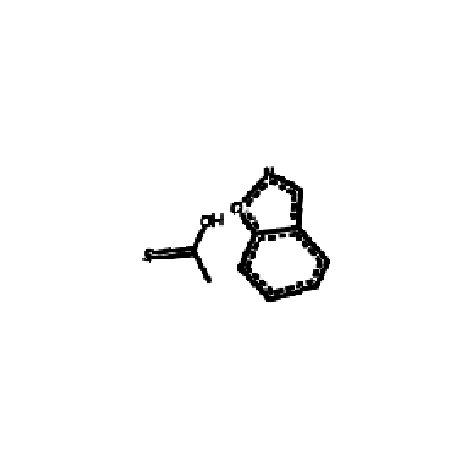 CC(O)=S.c1ccc2oncc2c1